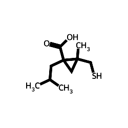 CC(C)CC1(C(=O)O)CC1(C)CS